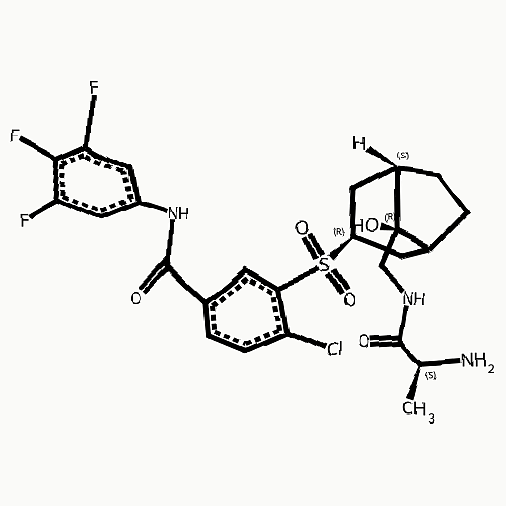 C[C@H](N)C(=O)NC[C@@]1(O)C2CC[C@H]1C[C@H](S(=O)(=O)c1cc(C(=O)Nc3cc(F)c(F)c(F)c3)ccc1Cl)C2